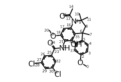 COc1ccc(C2(C)CC(C)(C)N(C(C)=O)c3cc(OC)c(NC(=O)c4cc(Cl)cc(Cl)c4)c(O)c32)cc1